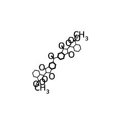 COC(=O)[C@H]1CCCCC1C(=O)C1C(=O)c2ccc(C(=O)c3ccc4c(c3)C(=O)C(C(=O)C3CCCC[C@@H]3C(=O)OC)C4=O)cc2C1=O